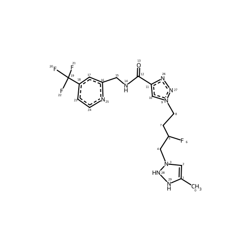 CC1=CN(CC(F)CCn2cc(C(=O)NCc3cc(C(F)(F)F)ccn3)nn2)NN1